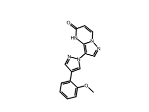 COc1ccccc1-c1cnn(-c2cnn3ccc(=O)[nH]c23)c1